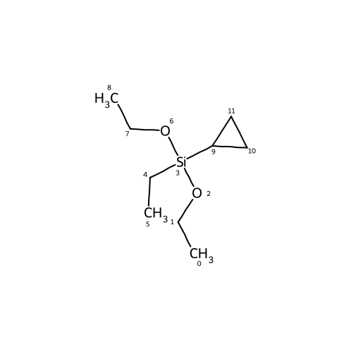 CCO[Si](CC)(OCC)C1CC1